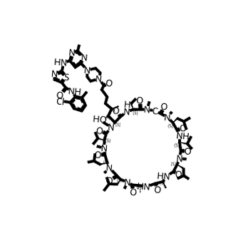 CC[C@@H]1NC(=O)[C@H]([C@H](O)[C@H](C)CCCC(=O)N2CCN(c3cc(Nc4ncc(C(=O)Nc5c(C)cccc5Cl)s4)nc(C)n3)CC2)N(C)C(=O)[C@H](C(C)C)N(C)C(=O)[C@H](CC(C)C)N(C)C(=O)[C@H](CC(C)C)N(C)C(=O)[C@@H](C)NC(=O)[C@H](C)NC(=O)[C@H](CC(C)C)N(C)C(=O)[C@H](C(C)C)NC(=O)[C@H](CC(C)C)N(C)C(=O)CN(C)C1=O